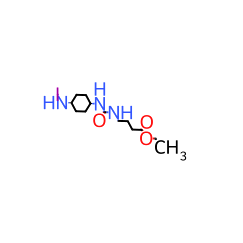 CCOC(=O)CCCNC(=O)N[C@H]1CC[C@H](NI)CC1